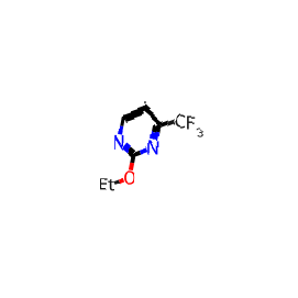 CCOc1nc[c]c(C(F)(F)F)n1